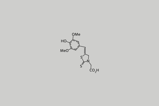 COc1cc(C=C2CN(CC(=O)O)C(=S)S2)cc(OC)c1O